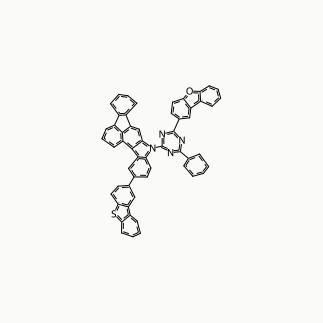 c1ccc(-c2nc(-c3ccc4oc5ccccc5c4c3)nc(-n3c4ccc(-c5ccc6sc7ccccc7c6c5)cc4c4c5cccc6c5c(cc43)-c3ccccc3-6)n2)cc1